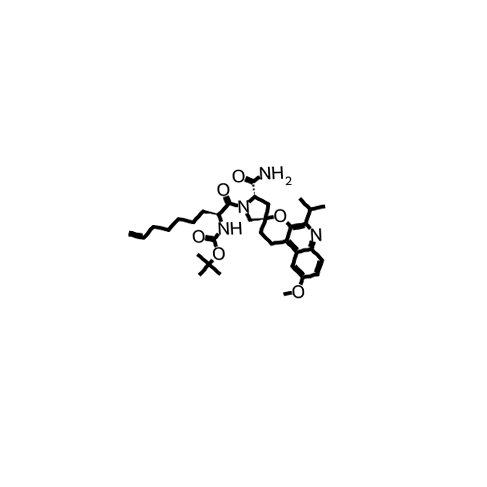 C=CCCCCC[C@H](NC(=O)OC(C)(C)C)C(=O)N1C[C@@]2(CCc3c(c(C(C)C)nc4ccc(OC)cc34)O2)C[C@H]1C(N)=O